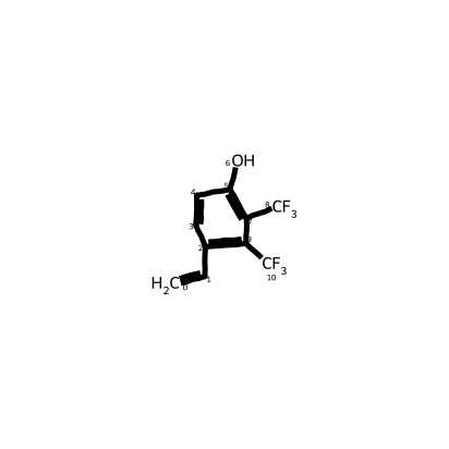 C=Cc1ccc(O)c(C(F)(F)F)c1C(F)(F)F